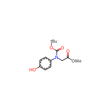 COC(=O)CN(C(=O)OC(C)(C)C)c1ccc(O)cc1